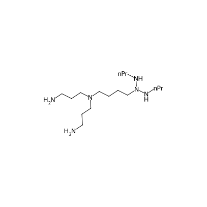 CCCNN(CCCCN(CCCN)CCCN)NCCC